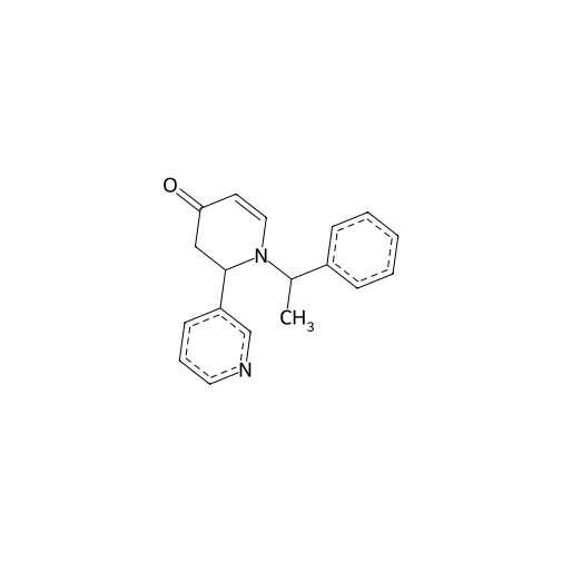 CC(c1ccccc1)N1C=CC(=O)CC1c1cccnc1